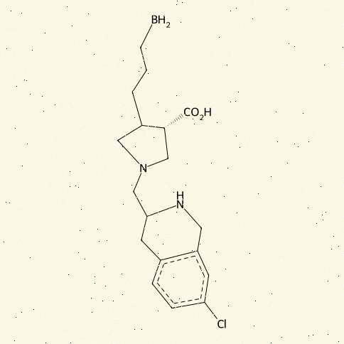 BCCCC1CN(CC2Cc3ccc(Cl)cc3CN2)C[C@H]1C(=O)O